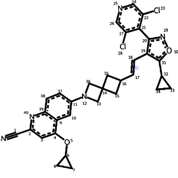 N#Cc1cc(OC2CC2)c2cc(N3CC4(CC(/C=C/c5c(-c6c(Cl)cncc6Cl)noc5C5CC5)C4)C3)ccc2n1